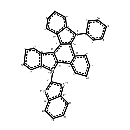 c1ccc(-n2c3ccccc3c3c4c5ccccc5n(-c5nc6ccccc6s5)c4c4ccccc4c32)cc1